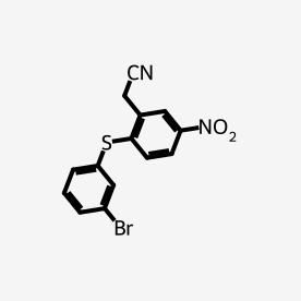 N#CCc1cc([N+](=O)[O-])ccc1Sc1cccc(Br)c1